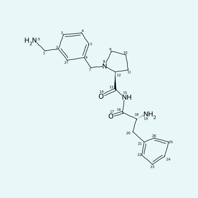 NCc1cccc(CN2CCC[C@H]2C(=O)NC(=O)[C@H](N)Cc2ccccc2)c1